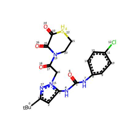 CC(C)(C)c1cc(NC(=O)Nc2ccc(Cl)cc2)n(CC(=O)N2CC[SH4]C(=O)C2=O)n1